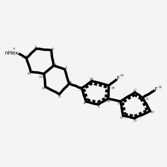 CCCCCCC1CCC2CC(c3ccc(-c4cccc(F)c4)c(F)c3)CCC2C1